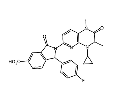 CC1C(=O)N(C)c2ccc(N3C(=O)c4cc(C(=O)O)ccc4C3c3ccc(F)cc3)nc2N1C1CC1